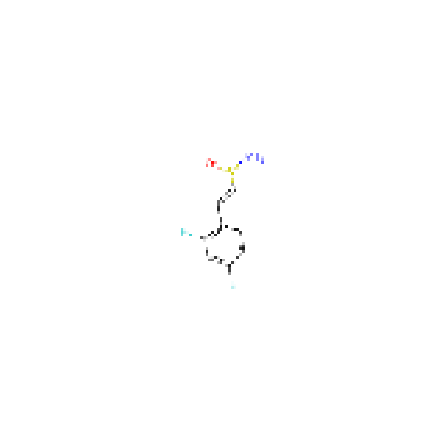 N[S+]([O-])C=Cc1ccc(F)cc1F